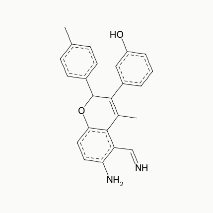 CC1=C(c2cccc(O)c2)C(c2ccc(C)cc2)Oc2ccc(N)c(C=N)c21